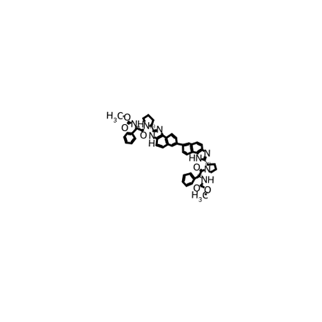 COC(=O)N[C@@H](C(=O)N1CCC[C@H]1c1nc2c(ccc3cc(-c4ccc5c(ccc6nc([C@@H]7CCCN7C(=O)[C@H](NC(=O)OC)c7ccccc7)[nH]c65)c4)ccc32)[nH]1)c1ccccc1